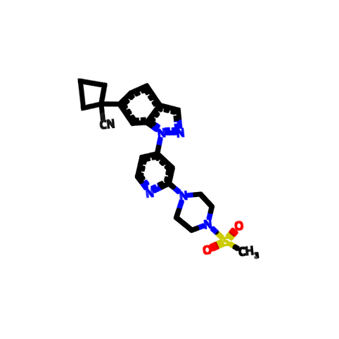 CS(=O)(=O)N1CCN(c2cc(-n3ncc4ccc(C5(C#N)CCC5)cc43)ccn2)CC1